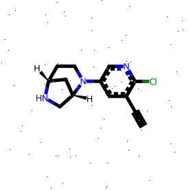 C#Cc1cc(N2CC[C@@H]3C[C@H]2CN3)cnc1Cl